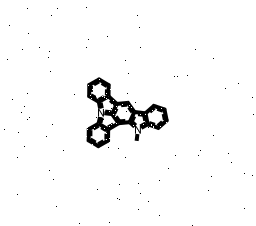 Cn1c2ccccc2c2cc3c4ccccc4n4c5ccccc5c(c21)c34